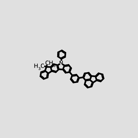 CC1(C)c2ccccc2-c2cc3c4cc(-c5cccc(-c6ccc7c8c(cccc68)-c6ccccc6-7)c5)ccc4n(-c4ccccc4)c3cc21